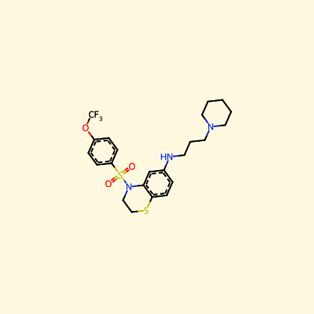 O=S(=O)(c1ccc(OC(F)(F)F)cc1)N1CCSc2ccc(NCCCN3CCCCC3)cc21